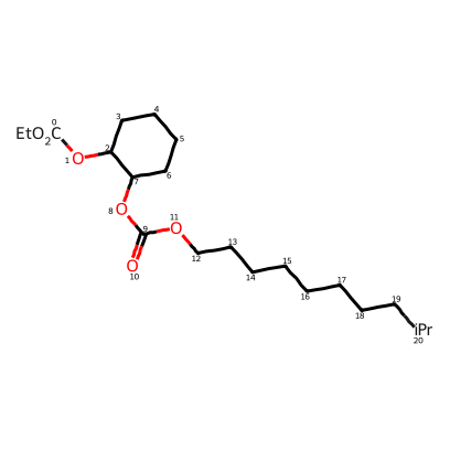 CCOC(=O)OC1CCCCC1OC(=O)OCCCCCCCCC(C)C